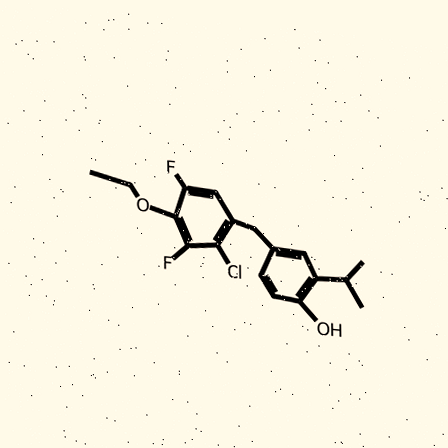 CCOc1c(F)cc(Cc2ccc(O)c(C(C)C)c2)c(Cl)c1F